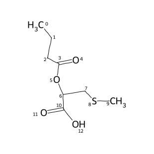 CCCC(=O)OC(CSC)C(=O)O